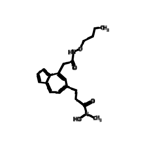 CCCCONC(=O)Cc1cc(CCC(=O)N(C)O)ccc2cccc1-2